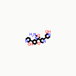 NC1=NC2(CO1)c1cc(-c3cccnc3O)ccc1Oc1cnc(-c3ccnc(O)c3)cc12